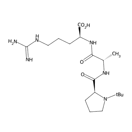 C[C@H](NC(=O)[C@@H]1CCCN1C(C)(C)C)C(=O)N[C@@H](CCCNC(=N)N)C(=O)O